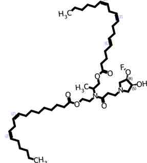 CCCCC/C=C\C/C=C\CC/C=C/CCCC(=O)OCC(C)N(CCOC(=O)CCCCCCC/C=C\C/C=C\CCCCC)C(=O)CCN1C[C@H](O)[C@H](OF)C1